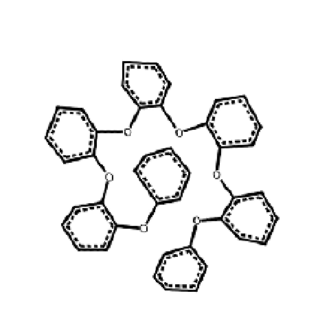 c1ccc(Oc2ccccc2Oc2ccccc2Oc2ccccc2Oc2ccccc2Oc2ccccc2Oc2ccccc2)cc1